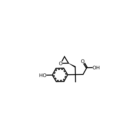 CC(CC(=O)O)(C[C@@H]1CO1)c1ccc(O)cc1